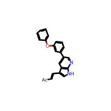 CC(=O)/C=C/c1c[nH]c2ncc(-c3cccc(Oc4ccccc4)c3)cc12